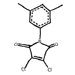 Cc1cc(C)cc(N2C(=O)C(Cl)=C(Cl)C2=O)c1